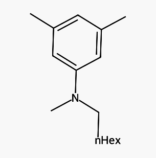 CCCCCCCN(C)c1cc(C)cc(C)c1